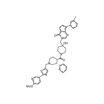 COc1ccc(-c2ncc(CN3CC[C@@H](C(=O)N4CCC(O)(Cn5cnc6c(ccn6-c6cccc(C)c6)c5=O)CC4)[C@H](c4ccccc4)C3)s2)cn1